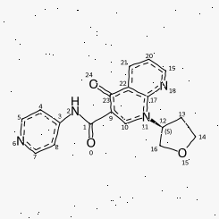 O=C(Nc1ccncc1)c1cn([C@H]2CCOC2)c2ncccc2c1=O